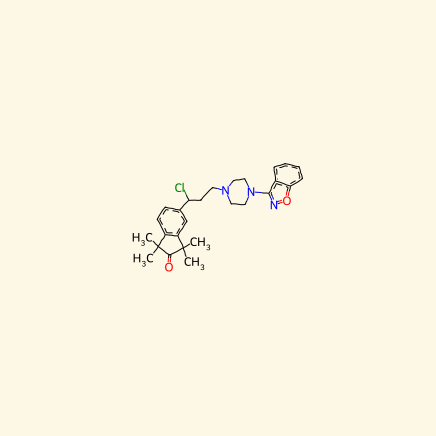 CC1(C)C(=O)C(C)(C)c2cc(C(Cl)CCN3CCN(c4noc5ccccc45)CC3)ccc21